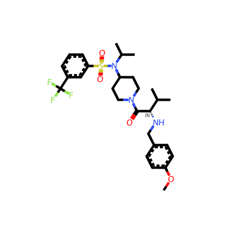 COc1ccc(CN[C@H](C(=O)N2CCC(N(C(C)C)S(=O)(=O)c3cccc(C(F)(F)F)c3)CC2)C(C)C)cc1